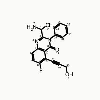 CC(N)c1nc2ccc(F)c(C#CCO)c2c(=O)n1-c1ccccc1